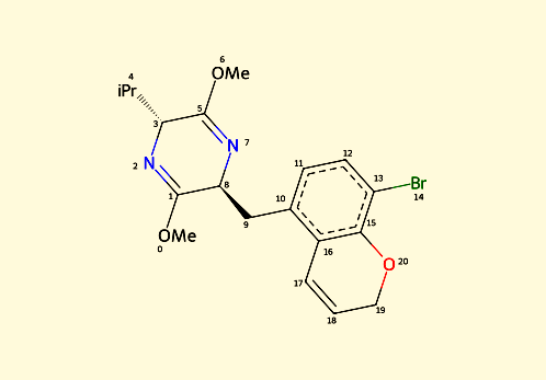 COC1=N[C@H](C(C)C)C(OC)=N[C@H]1Cc1ccc(Br)c2c1C=CCO2